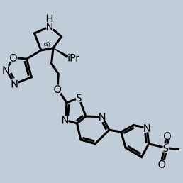 CC(C)[C@]1(CCOc2nc3ccc(-c4ccc(S(C)(=O)=O)nc4)nc3s2)CNCC1c1cnno1